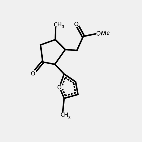 COC(=O)CC1C(C)CC(=O)C1c1ccc(C)o1